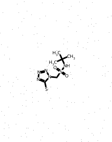 CC(C)(C)NS(=O)(=O)Cn1nnnc1[S]